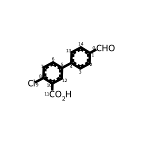 O=Cc1ccc(-c2ccc(Cl)c(C(=O)O)c2)cc1